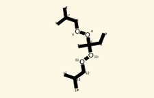 CCC(C)(OOCC(C)C)OOCC(C)C